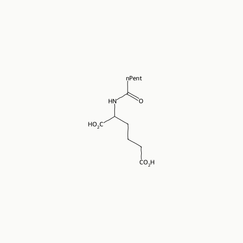 CCCCCC(=O)NC(CCCC(=O)O)C(=O)O